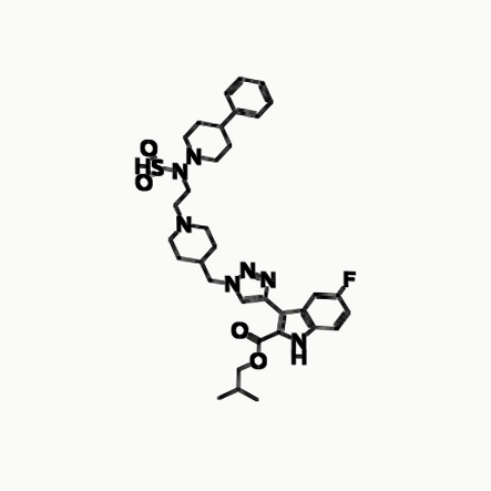 CC(C)COC(=O)c1[nH]c2ccc(F)cc2c1-c1cn(CC2CCN(CCN(N3CCC(c4ccccc4)CC3)[SH](=O)=O)CC2)nn1